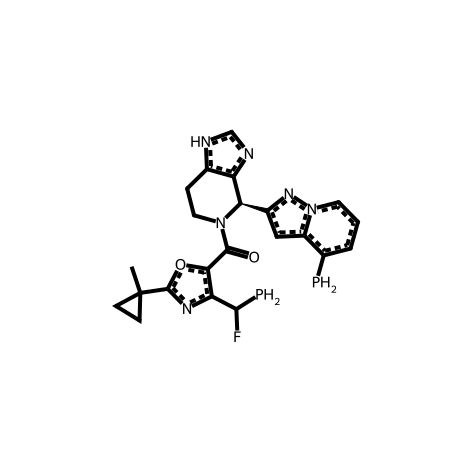 CC1(c2nc(C(F)P)c(C(=O)N3CCc4[nH]cnc4[C@H]3c3cc4c(P)cccn4n3)o2)CC1